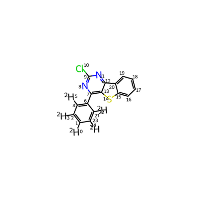 [2H]c1c([2H])c([2H])c(-c2nc(Cl)nc3c2sc2ccccc23)c([2H])c1[2H]